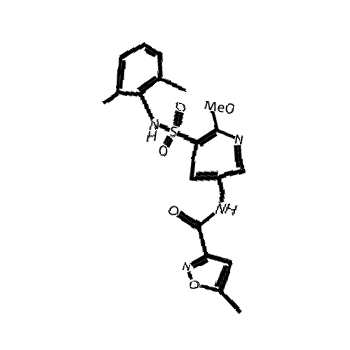 COc1ncc(NC(=O)c2cc(C)on2)cc1S(=O)(=O)Nc1c(C)cccc1C